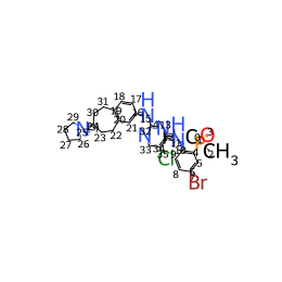 CP(C)(=O)c1cc(Br)ccc1Nc1nc(Nc2ccc3c(c2)CC[C@@H](N2CCCC2)CC3)ncc1Cl